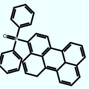 O=P(c1ccccc1)(c1ccccc1)c1ccc2c3c1C=CCC3=C1C=CC=C3C=CC=C2C31